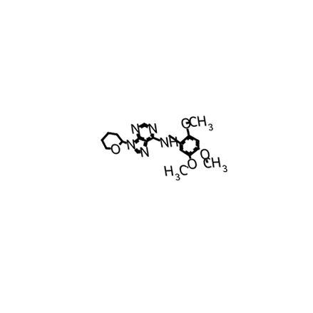 COc1cc(OC)c(OC)cc1CNc1ncnc2c1ncn2C1CCCCO1